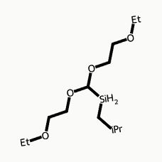 CCOCCOC(OCCOCC)[SiH2]CC(C)C